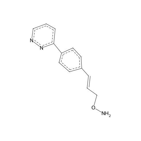 NOCC=Cc1ccc(-c2cccnn2)cc1